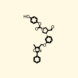 Cc1oc(-c2ccccc2)nc1COc1cccc([C@@H]2CN(C(=O)Oc3ccc(O)cc3)CC2C=O)c1